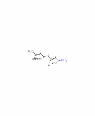 CCCCC/C(C)=C\CC/C(=C/CN)CCCCC